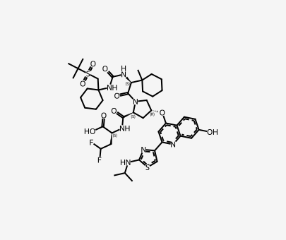 CC(C)Nc1nc(-c2cc(O[C@@H]3C[C@@H](C(=O)N[C@@H](CC(F)F)C(=O)O)N(C(=O)[C@@H](NC(=O)NC4(CS(=O)(=O)C(C)(C)C)CCCCC4)C4(C)CCCCC4)C3)c3ccc(O)cc3n2)cs1